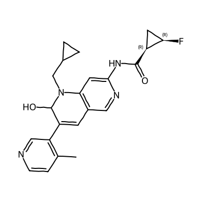 Cc1ccncc1C1=Cc2cnc(NC(=O)[C@H]3C[C@H]3F)cc2N(CC2CC2)C1O